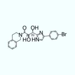 O=C([C@H](O)[C@@H](O)c1nc(-c2ccc(Br)cc2)c[nH]1)N1CCc2ccccc2C1